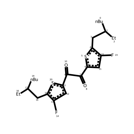 CCCCC(CC)Cc1sc(C(=O)C(=O)c2cc(F)c(CC(CC)CCCC)s2)cc1F